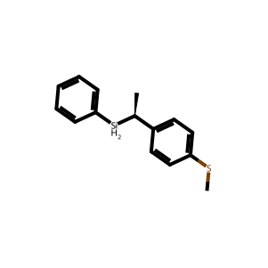 CSc1ccc([C@H](C)[SiH2]c2ccccc2)cc1